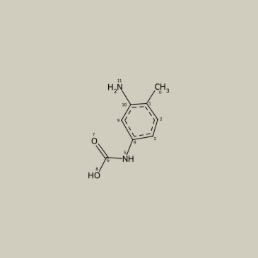 Cc1ccc(NC(=O)O)cc1N